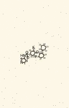 O=S(=O)(Nc1ncns1)c1cc(F)c(Oc2ccccc2-c2ccccc2)c(F)c1